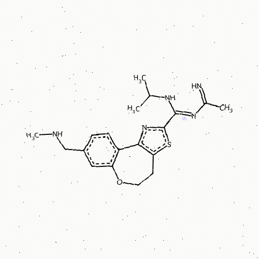 CNCc1ccc2c(c1)OCCc1sc(/C(=N/C(C)=N)NC(C)C)nc1-2